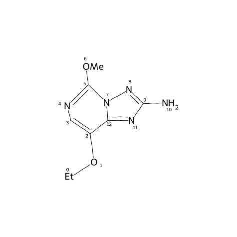 CCOc1cnc(OC)n2nc(N)nc12